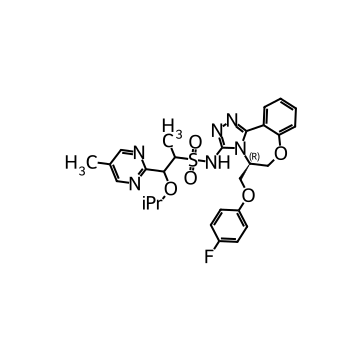 Cc1cnc(C(OC(C)C)C(C)S(=O)(=O)Nc2nnc3n2[C@H](COc2ccc(F)cc2)COc2ccccc2-3)nc1